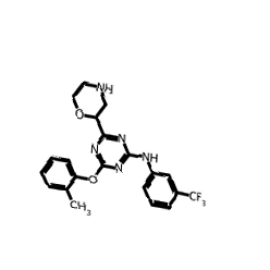 Cc1ccccc1Oc1nc(Nc2cccc(C(F)(F)F)c2)nc(C2CNCCO2)n1